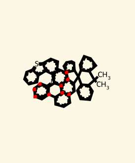 CC1(C)c2ccccc2C2(c3ccccc3-c3c(N(c4ccccc4-c4ccccc4-c4ccccc4-c4ccccc4)c4cccc5sc6ccccc6c45)cccc32)c2ccccc21